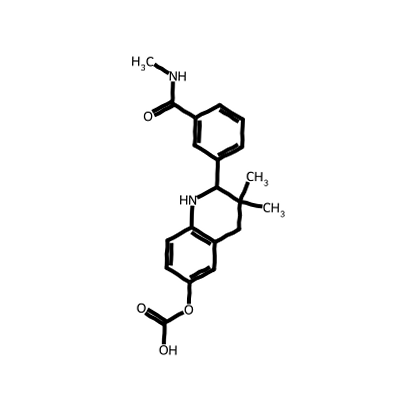 CNC(=O)c1cccc(C2Nc3ccc(OC(=O)O)cc3CC2(C)C)c1